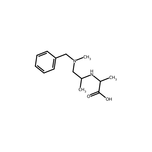 CC(CN(C)Cc1ccccc1)NC(C)C(=O)O